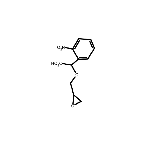 O=C(O)C(OCC1CO1)c1ccccc1[N+](=O)[O-]